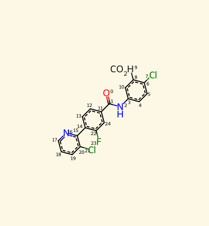 O=C(Nc1ccc(Cl)c(C(=O)O)c1)c1ccc(-c2ncccc2Cl)c(F)c1